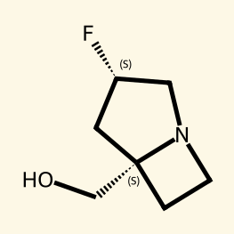 OC[C@@]12CCN1C[C@@H](F)C2